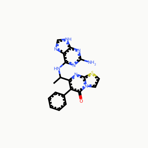 CC(Nc1nc(N)nc2[nH]cnc12)c1nc2sccn2c(=O)c1-c1ccccc1